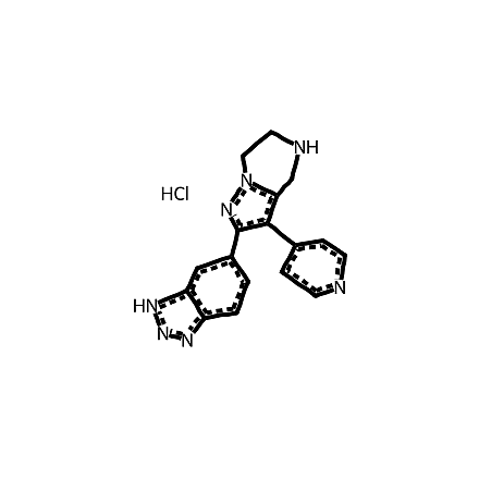 Cl.c1cc(-c2c(-c3ccc4nn[nH]c4c3)nn3c2CNCC3)ccn1